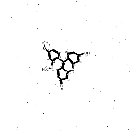 COc1ccc(-c2c3ccc(=O)cc-3oc3cc(O)ccc23)c(OC)c1